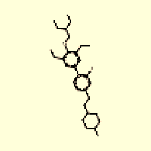 CCc1cc(-c2ccc(CCC3CCC(C)CC3)cc2F)cc(CC)c1OCC(CC)CC